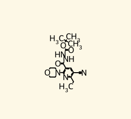 CCc1nc(N2CCOCC2)c(C(=O)NNC(=O)OC(C)(C)C)cc1C#N